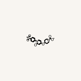 COC(=O)N1CCC(Oc2ccn(-c3ccc(S(C)(=O)=O)cc3)c(=O)c2)CC1